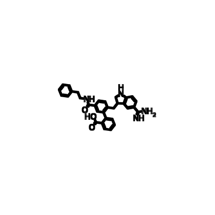 N=C(N)c1ccc2c(c1)C(Cc1ccc(C(=O)NCCc3ccccc3)cc1-c1ccccc1C(=O)O)CN2